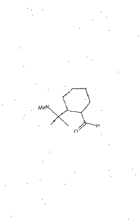 CNC(C)(C)C1CCCCC1C(=O)C(C)C